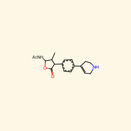 CC(=O)NC1OC(=O)C(c2ccc(C3=CCNCC3)cc2)C1C